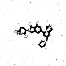 O=C1CCC(N2Cc3cc(-c4cc(CN5CCCC5)cc5cncn45)cc(F)c3C2=O)C(=O)N1